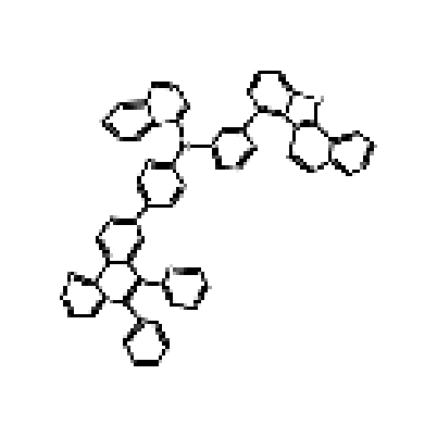 c1ccc(-c2c(-c3ccccc3)c3cc(-c4ccc(N(c5cccc(-c6cccc7oc8c9ccccc9ccc8c67)c5)c5cccc6ccccc56)cc4)ccc3c3ccccc23)cc1